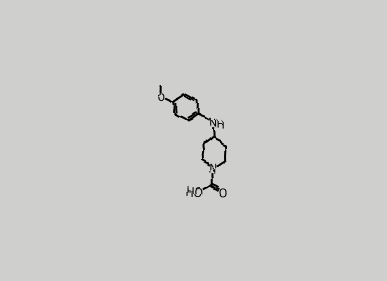 COc1ccc(NC2CCN(C(=O)O)CC2)cc1